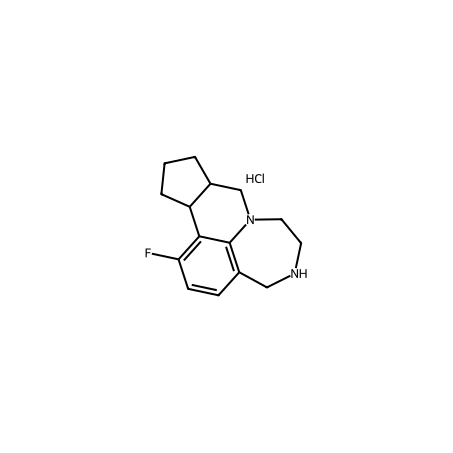 Cl.Fc1ccc2c3c1C1CCCC1CN3CCNC2